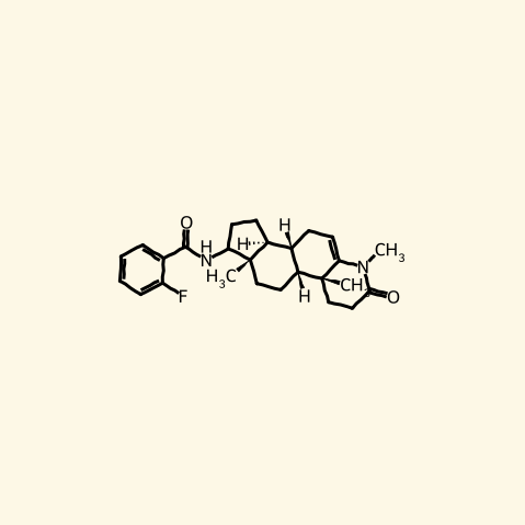 CN1C(=O)CC[C@@]2(C)C1=CC[C@@H]1[C@H]2CC[C@]2(C)C(NC(=O)c3ccccc3F)CC[C@@H]12